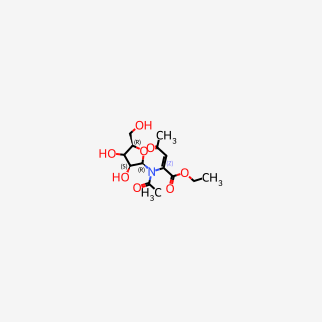 CCOC(=O)/C(=C/C(C)=O)N(C(C)=O)[C@@H]1O[C@H](CO)C(O)[C@@H]1O